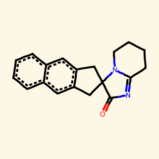 O=C1N=C2CCCCN2C12Cc1cc3ccccc3cc1C2